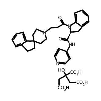 O=C(Nc1ccncc1)[C@@H]1Cc2ccccc2N1C(=O)CCN1CCC2(CCc3ccccc32)CC1.O=C(O)CC(O)(CC(=O)O)C(=O)O